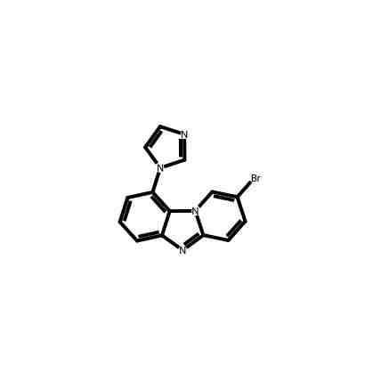 Brc1ccc2nc3cccc(-n4ccnc4)c3n2c1